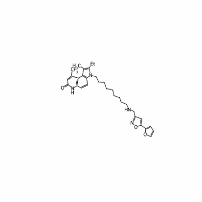 CCc1c(C)c2c3c(C(F)(F)F)cc(=O)[nH]c3ccc2n1CCCCCCCCCNCc1cc(-c2ccco2)on1